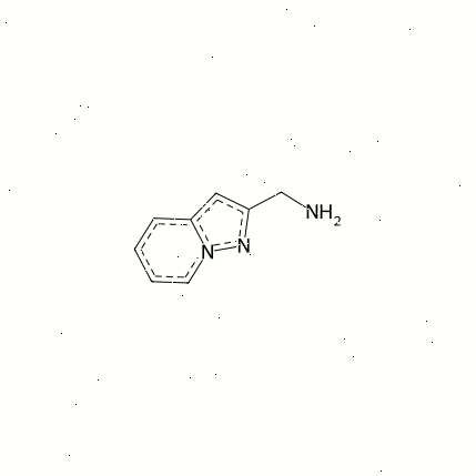 NCc1cc2ccccn2n1